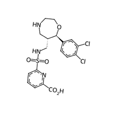 O=C(O)c1cccc(S(=O)(=O)NC[C@@H]2CNCCO[C@H]2c2ccc(Cl)c(Cl)c2)n1